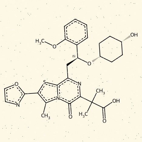 COc1ccccc1[C@H](Cc1nc(C(C)(C)C(=O)O)c(=O)n2c(C)c(-c3ncco3)sc12)O[C@H]1CC[C@@H](O)CC1